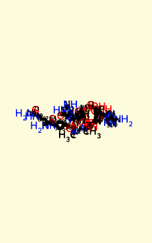 CN(CCN(C)C(=O)C12O[C@@H]3[C@H](O1)[C@@H](COP(=O)(O)O[C@H]1[C@@H](O)[C@H](n4cnc5c(N)ncnc54)O[C@@H]1COP2(=O)O)O[C@H]3n1cnc2c(=O)[nH]c(N)nc21)C(=O)OCc1ccc(NC(=O)[C@@H](N)CCCNC(N)=O)cc1